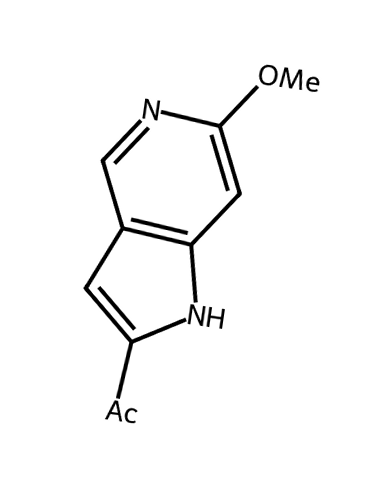 COc1cc2[nH]c(C(C)=O)cc2cn1